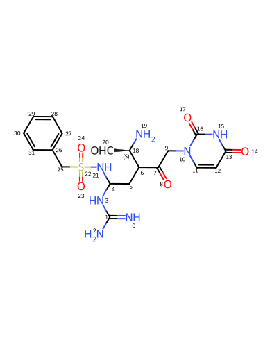 N=C(N)NC(CC(C(=O)Cn1ccc(=O)[nH]c1=O)[C@H](N)C=O)NS(=O)(=O)Cc1ccccc1